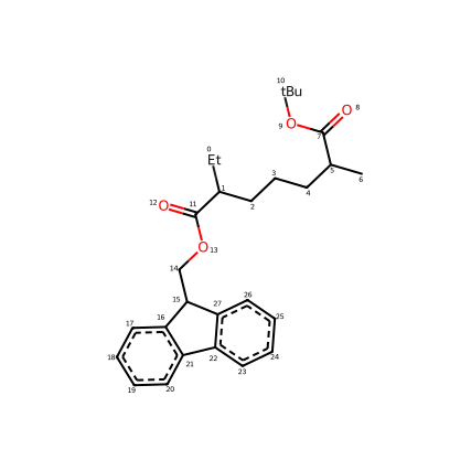 CCC(CCCC(C)C(=O)OC(C)(C)C)C(=O)OCC1c2ccccc2-c2ccccc21